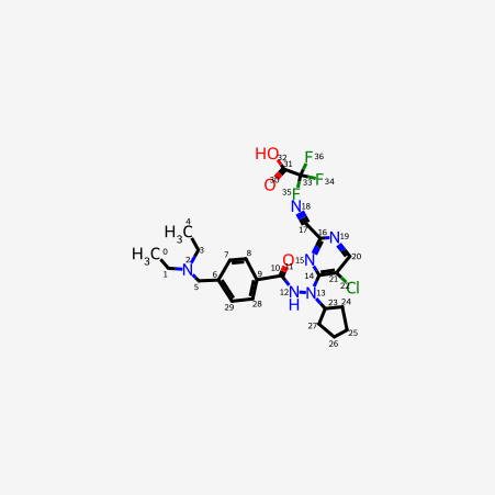 CCN(CC)Cc1ccc(C(=O)NN(c2nc(C#N)ncc2Cl)C2CCCC2)cc1.O=C(O)C(F)(F)F